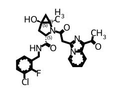 CC(=O)c1nc(CC(=O)N2[C@H](C(=O)NCc3cccc(Cl)c3F)C[C@]3(O)C[C@@]23C)n2ccccc12